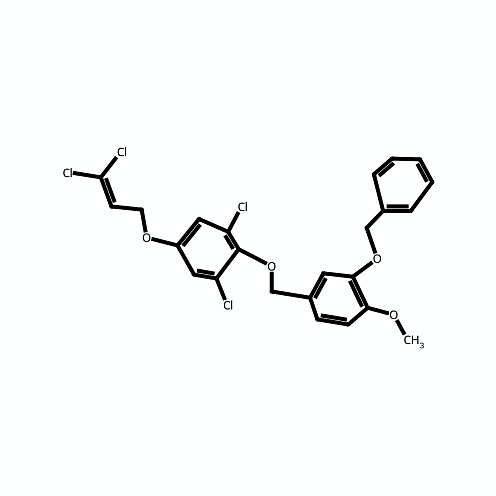 COc1ccc(COc2c(Cl)cc(OCC=C(Cl)Cl)cc2Cl)cc1OCc1ccccc1